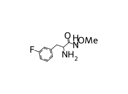 CONC(=O)C(N)Cc1cccc(F)c1